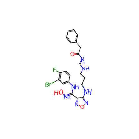 O=C(Cc1ccccc1)/N=C/NCCCNc1nonc1/C(=N/O)Nc1ccc(F)c(Br)c1